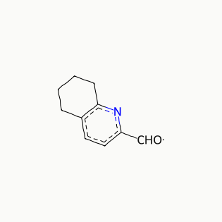 O=[C]c1ccc2c(n1)CCCC2